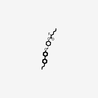 CCCC[C@H](F)C(=O)O[C@H]1CC[C@H](COc2ccc(-c3ccc(CCC)cc3)cc2)CC1